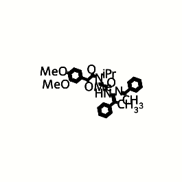 COc1ccc(C(OC)C(=O)N(CC(=O)NC(/N=C(\C)c2ccccc2)=C(/C)c2ccccc2)C(C)C)cc1OC